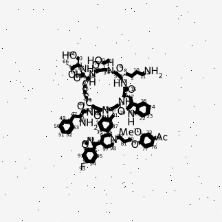 CC(O)[C@@H]1NC(=O)[C@H](CCCCN)NC(=O)[C@@H](Cc2c[nH]c3ccccc23)NC(=O)[C@H](Cc2ccccc2)NC(=O)[C@@H](NC(=O)[C@H](N)Cc2ccccc2)CSSC[C@@H](C(=O)N[C@H](CO)[C@@H](C)O)NC1=O.COc1cc(C(C)=O)ccc1OCCCN1CCC(c2noc3cc(F)ccc23)CC1